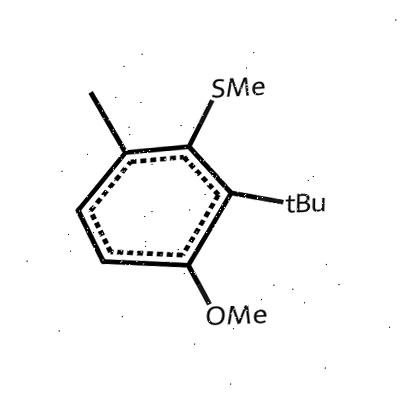 COc1ccc(C)c(SC)c1C(C)(C)C